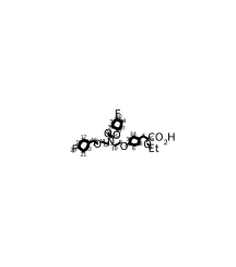 CCOC(Cc1ccc(OCCN(CCOCc2ccc(F)cc2)C(=O)Oc2ccc(F)cc2)cc1)C(=O)O